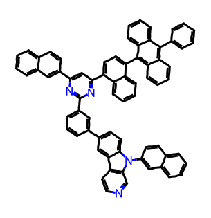 c1ccc(-c2c3ccccc3c(-c3ccc(-c4cc(-c5ccc6ccccc6c5)nc(-c5cccc(-c6ccc7c(c6)c6ccncc6n7-c6ccc7ccccc7c6)c5)n4)c4ccccc34)c3ccccc23)cc1